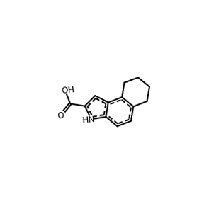 O=C(O)c1cc2c3c(ccc2[nH]1)CCCC3